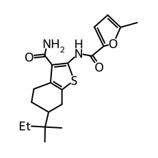 CCC(C)(C)C1CCc2c(sc(NC(=O)c3ccc(C)o3)c2C(N)=O)C1